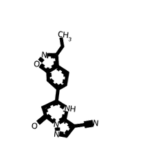 CCc1noc2cc(-c3cc(=O)n4ncc(C#N)c4[nH]3)ccc12